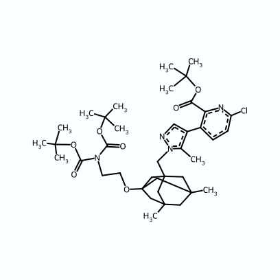 Cc1c(-c2ccc(Cl)nc2C(=O)OC(C)(C)C)cnn1CC12CC3(C)CC(C)(C1)CC(OCCN(C(=O)OC(C)(C)C)C(=O)OC(C)(C)C)(C3)C2